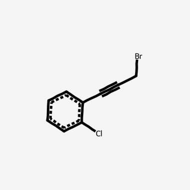 Clc1ccccc1C#CCBr